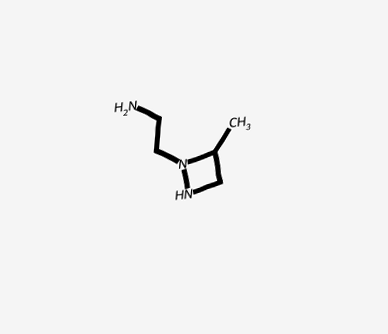 CC1CNN1CCN